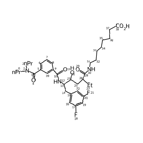 CCCN(CCC)C(=O)c1cccc(C(=O)NC(Cc2cc(F)cc(F)c2)C(O)CC(CC)C(=O)NCCCCCCCC(=O)O)c1